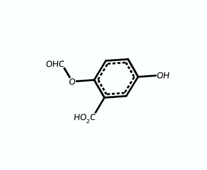 O=COc1ccc(O)cc1C(=O)O